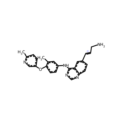 Cc1ccc(Oc2ccc(Nc3ncnc4ccc(/C=C/CN)cc34)cc2C)cn1